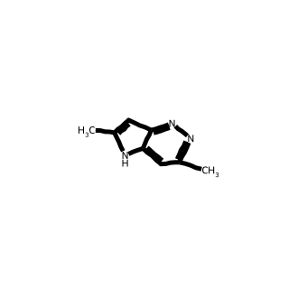 Cc1cc2[nH]c(C)cc2nn1